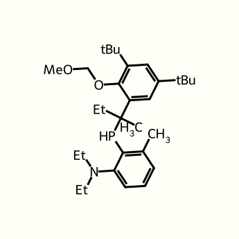 CCN(CC)c1cccc(C)c1PC(C)(CC)c1cc(C(C)(C)C)cc(C(C)(C)C)c1OCOC